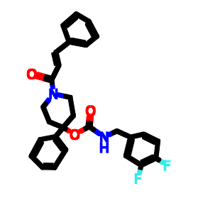 O=C(NCc1ccc(F)c(F)c1)OC1(c2ccccc2)CCN(C(=O)C=Cc2ccccc2)CC1